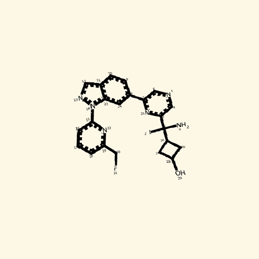 NC(I)(c1cncc(-c2ccc3cnn(-c4cccc(CF)n4)c3c2)n1)C1CC(O)C1